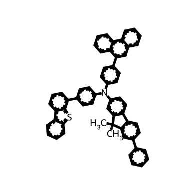 CC1(C)c2cc(-c3ccccc3)ccc2-c2ccc(N(c3ccc(-c4cc5ccccc5c5ccccc45)cc3)c3ccc(-c4cccc5c4sc4ccccc45)cc3)cc21